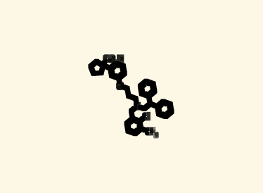 O=C(O)C1(c2cccc(OCCCN(Cc3cccc(C(F)(F)F)c3Cl)CC(c3ccccc3)c3ccccc3)c2)CCCC1